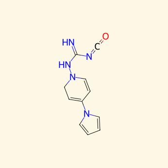 N=C(N=C=O)NN1C=CC(n2cccc2)=CC1